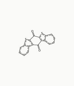 O=C1c2sc3ccccc3c2C(=O)c2c1sc1ccccc21